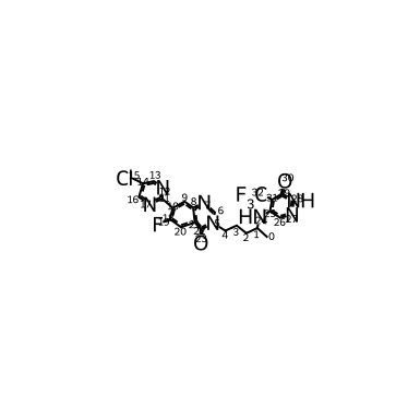 CC(CCCn1cnc2cc(-c3ncc(Cl)cn3)c(F)cc2c1=O)Nc1cn[nH]c(=O)c1C(F)(F)F